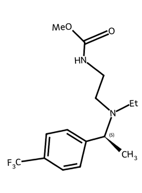 CCN(CCNC(=O)OC)[C@@H](C)c1ccc(C(F)(F)F)cc1